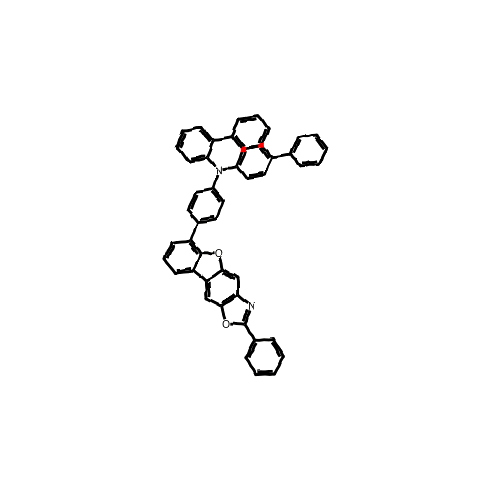 c1ccc(-c2ccc(N(c3ccc(-c4cccc5c4oc4cc6nc(-c7ccccc7)oc6cc45)cc3)c3ccccc3-c3ccccc3)cc2)cc1